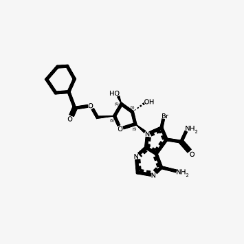 NC(=O)c1c(Br)n([C@H]2O[C@@H](COC(=O)C3CCCCC3)[C@@H](O)[C@@H]2O)c2ncnc(N)c12